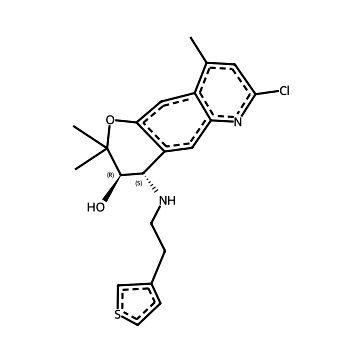 Cc1cc(Cl)nc2cc3c(cc12)OC(C)(C)[C@H](O)[C@H]3NCCc1ccsc1